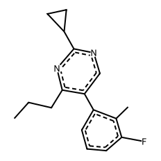 CCCc1nc(C2CC2)ncc1-c1cccc(F)c1C